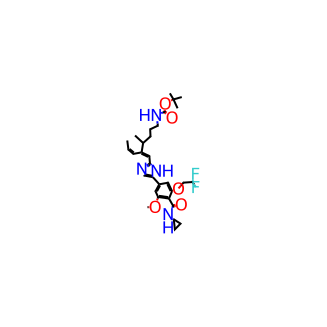 C/C=C\C(=C/c1ncc(-c2cc(OC)c(C(=O)NC3CC3)c(OCC(F)F)c2)[nH]1)C(C)CCCNC(=O)OC(C)(C)C